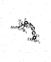 C=CC(CCC(=C)NC)N1C(=C)N(C)c2c(N3CC(CN4CCN(C5CCN(c6cc(OCC)c(N)cc6CC)CC5)CC4)C3)cc(F)cc21